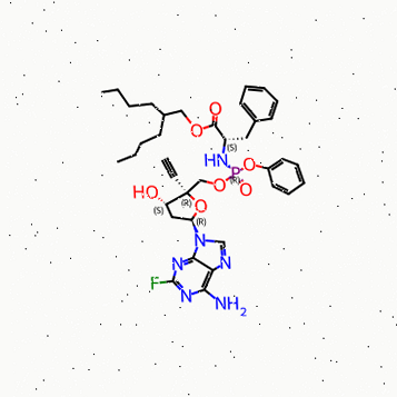 C#C[C@]1(CO[P@](=O)(N[C@@H](Cc2ccccc2)C(=O)OCC(CCCC)CCCC)Oc2ccccc2)O[C@@H](n2cnc3c(N)nc(F)nc32)C[C@@H]1O